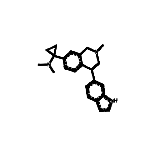 CN1Cc2cc(C3(N(C)C)CC3)ccc2C(c2ccc3cc[nH]c3c2)C1